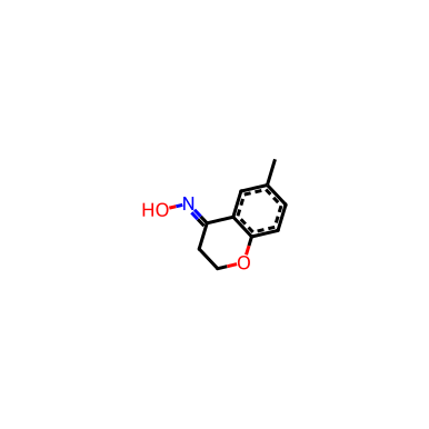 Cc1ccc2c(c1)C(=NO)CCO2